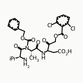 CC(C)[C@H](N)C(=O)N(C(=O)OCc1ccccc1)[C@@H](C)C(=O)NC(CC(=O)O)C(=O)COC(=O)c1c(Cl)cccc1Cl